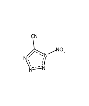 N#Cc1nnnn1[N+](=O)[O-]